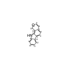 C1=Cc2ccc3c([nH]c4ccccc43)c2CO1